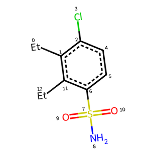 CCc1c(Cl)ccc(S(N)(=O)=O)c1CC